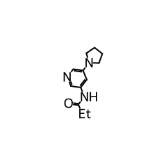 CCC(=O)Nc1cncc(N2CCCC2)c1